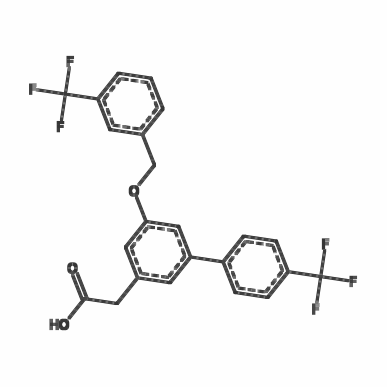 O=C(O)Cc1cc(OCc2cccc(C(F)(F)F)c2)cc(-c2ccc(C(F)(F)F)cc2)c1